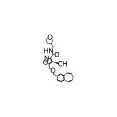 C#Cc1c(C(=O)NCC2CCOC2)noc1COCc1ccc2c(c1)C=CCC=C2